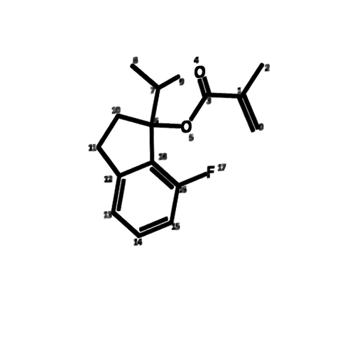 C=C(C)C(=O)OC1(C(C)C)CCc2cccc(F)c21